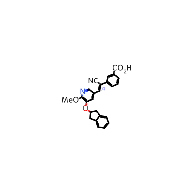 COc1ncc(/C=C(\C#N)c2cccc(C(=O)O)c2)cc1OC1Cc2ccccc2C1